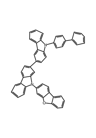 c1ccc(-c2ccc(-n3c4ccccc4c4cc(-c5ccc6c7ccccc7n(-c7ccc8c(c7)oc7ccccc78)c6c5)ccc43)cc2)cc1